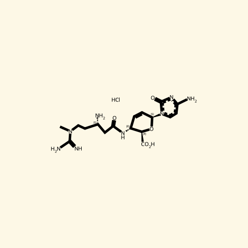 CN(CC[C@H](N)CC(=O)N[C@@H]1C=C[C@@H](n2ccc(N)nc2=O)O[C@H]1C(=O)O)C(=N)N.Cl